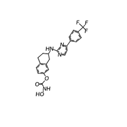 O=C(NO)Oc1ccc2c(c1)CC(Nc1nccc(-c3ccc(C(F)(F)F)cc3)n1)CC2